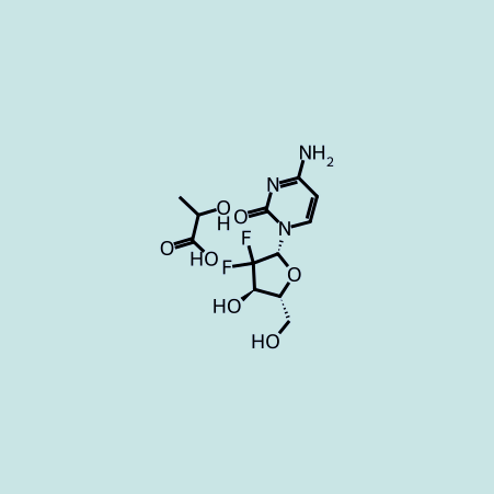 CC(O)C(=O)O.Nc1ccn([C@@H]2O[C@H](CO)[C@@H](O)C2(F)F)c(=O)n1